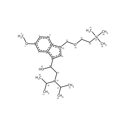 COc1cnc2c(c1)c(C(O)CN(C(C)C)C(C)C)cn2COCC[Si](C)(C)C